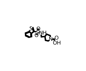 O=C(O)N1CCC(CNS(=O)(=O)c2csc3ccccc23)CC1